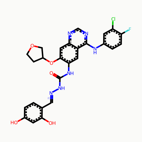 O=C(N/N=C/c1ccc(O)cc1O)Nc1cc2c(Nc3ccc(F)c(Cl)c3)ncnc2cc1OC1CCOC1